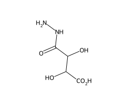 NNC(=O)C(O)C(O)C(=O)O